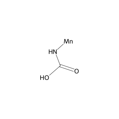 O=C(O)[NH][Mn]